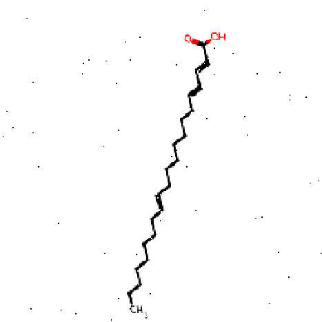 CCCCCCCCC=CCCCCCCCC=CC=CC(=O)O